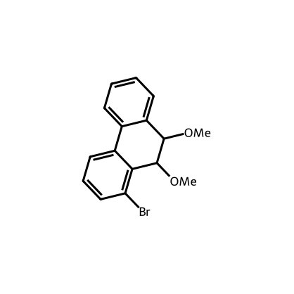 COC1c2ccccc2-c2cccc(Br)c2C1OC